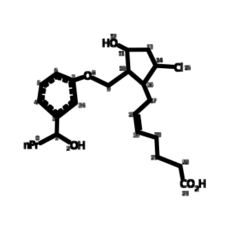 CCCC(O)c1cccc(OCC2C(O)CC(Cl)C2C/C=C\CCCC(=O)O)c1